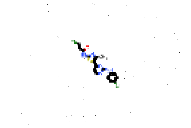 Cc1nc(NC(=O)CCCl)sc1-c1ccnc(Nc2ccc(Cl)cc2)n1